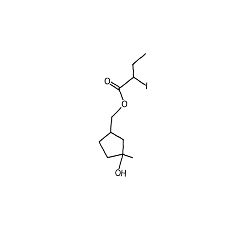 CCC(I)C(=O)OCC1CCC(C)(O)C1